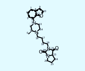 C[C@H]1CN(c2cccc3ccoc23)CCN1CCCCN1C(=O)C2CCCN2C1=O